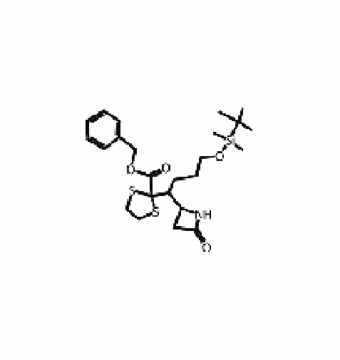 CC(C)(C)[Si](C)(C)OCCC[C](C1CC(=O)N1)C1(C(=O)OCc2ccccc2)SCCS1